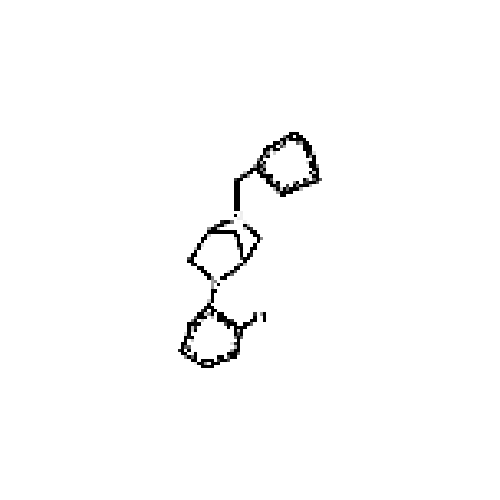 Clc1ccccc1N1CC2CC1CN2Cc1ccccc1